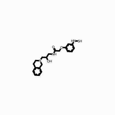 O=C(COc1cccc(NS)c1)NCC(O)CN1CCc2ccccc2C1